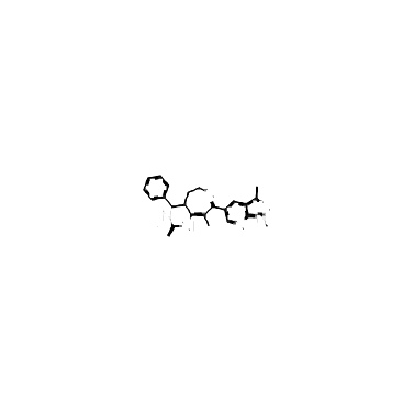 C=C(N)NC1=C(C)C(c2cnc3c(c2)c(C)nn3C)=NCCC1Cc1ccccc1